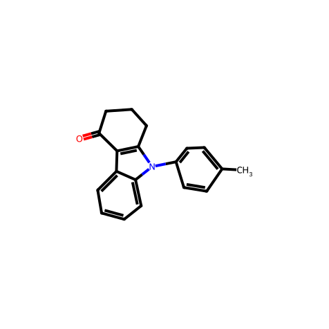 Cc1ccc(-n2c3c(c4ccccc42)C(=O)CCC3)cc1